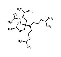 CC(C)OCCN(CCOC(C)C)C(COC(C)C)(COC(C)C)COC(C)C